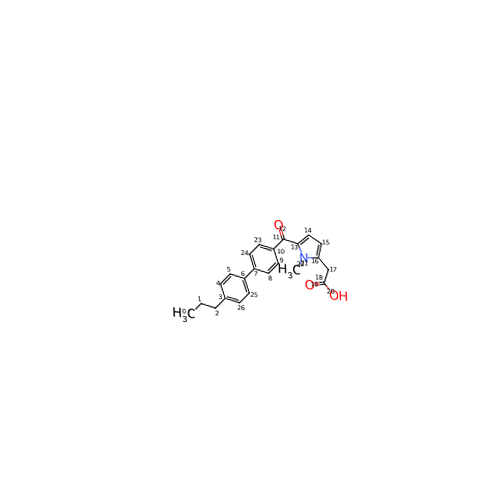 CCCc1ccc(-c2ccc(C(=O)c3ccc(CC(=O)O)n3C)cc2)cc1